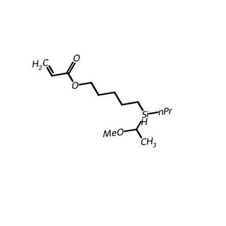 C=CC(=O)OCCCCC[SiH](CCC)C(C)OC